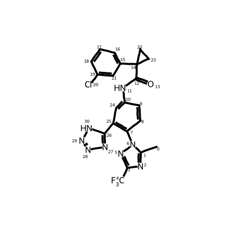 Cc1nc(C(F)(F)F)nn1-c1ccc(NC(=O)C2(c3cccc(Cl)c3)CC2)cc1-c1nnn[nH]1